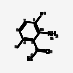 CCC(=O)c1c(C)ccc(F)c1N